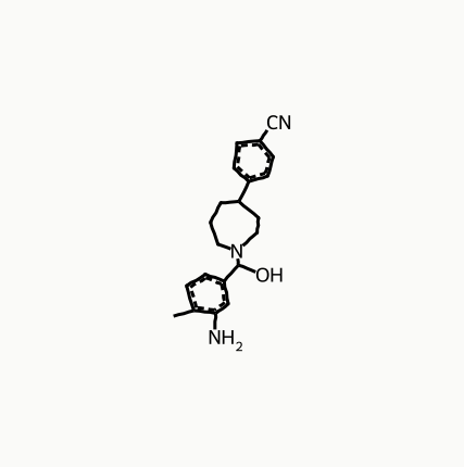 Cc1ccc(C(O)N2CCCC(c3ccc(C#N)cc3)CC2)cc1N